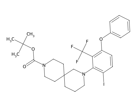 CC(C)(C)OC(=O)N1CCC2(CCCN(c3c(I)ccc(Oc4ccccc4)c3C(F)(F)F)C2)CC1